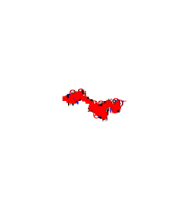 C=C1C[C@H]2C=Nc3cc(OCCCCCOc4cc5c(cc4OC)C(=O)N4CC(=C)C[C@H]4[C@H](O)N5C(=O)OC[C@@H](C)SSc4ncccc4[N+](=O)[O-])c(OC)cc3C(=O)N2C1